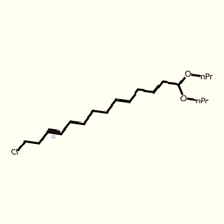 CCCOC(CCCCCCCCC/C=C/CCCl)OCCC